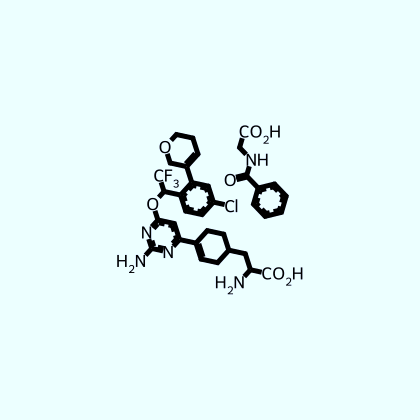 Nc1nc(OC(c2ccc(Cl)cc2C2=CCCOC2)C(F)(F)F)cc(C2=CCC(CC(N)C(=O)O)CC2)n1.O=C(O)CNC(=O)c1ccccc1